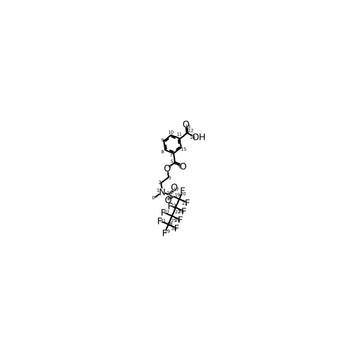 CN(CCOC(=O)c1cccc(C(=O)O)c1)S(=O)(=O)C(F)(F)C(F)(F)C(F)(F)C(F)(F)F